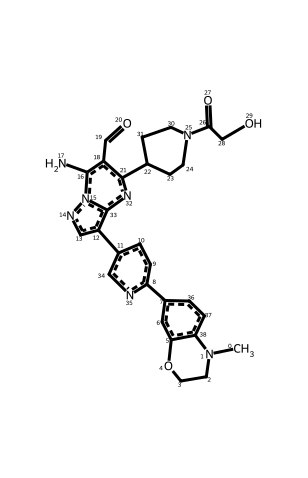 CN1CCOc2cc(-c3ccc(-c4cnn5c(N)c(C=O)c(C6CCN(C(=O)CO)CC6)nc45)cn3)ccc21